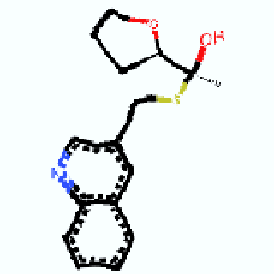 C[C@](O)(SCc1cnc2ccccc2c1)[C@H]1CCCO1